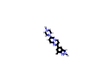 Cc1cc(C2=CCN3C=C(N4CCN(C)CC4)C=CC3=N2)cc2cn(C)nc12